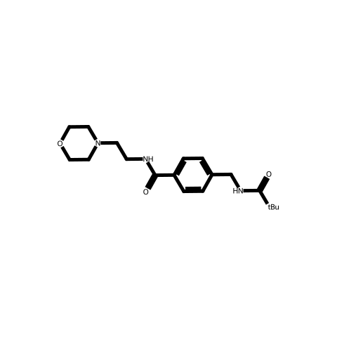 CC(C)(C)C(=O)NCc1ccc(C(=O)NCCN2CCOCC2)cc1